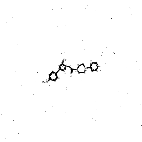 COc1ccc(-c2cc(C(C)C)n(CC(=O)N3CCN(c4ccccn4)CC3)n2)cc1